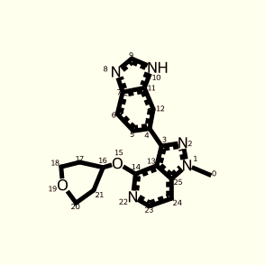 Cn1nc(-c2ccc3nc[nH]c3c2)c2c(OC3CCOCC3)nccc21